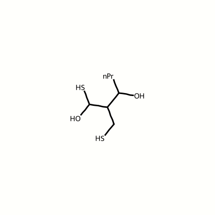 CCCC(O)C(CS)C(O)S